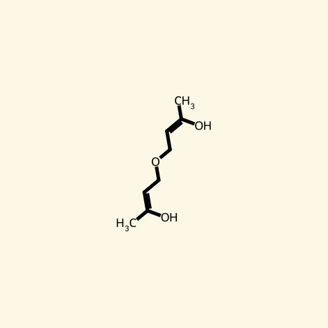 CC(O)=CCOCC=C(C)O